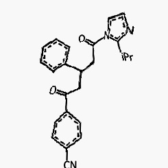 CC(C)c1nccn1C(=O)C[C@@H](CC(=O)c1ccc(C#N)cc1)c1ccccc1